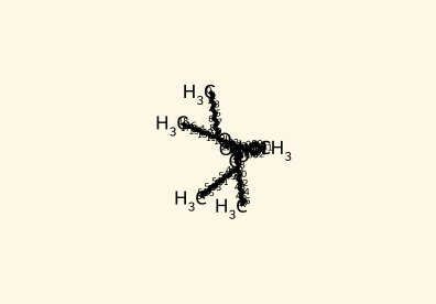 CCCCCCCCCCC(CCCCCCCC)COC(=O)CN(CCN1CCN(C)CC1)CC(=O)OCC(CCCCCCCC)CCCCCCCCCC